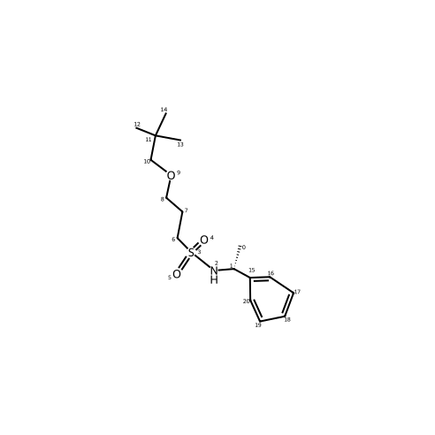 C[C@@H](NS(=O)(=O)CCCOCC(C)(C)C)c1ccccc1